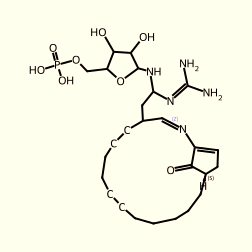 NC(N)=NC(CC1/C=N\C2=CC[C@H](CCCCCCCCCCC1)C2=O)NC1OC(COP(=O)(O)O)C(O)C1O